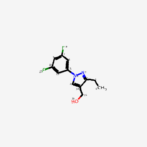 CCc1nn(-c2cc(F)cc(F)c2)cc1CO